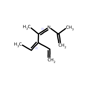 C=CC(=C/C)/C(C)=N\C(=C)C